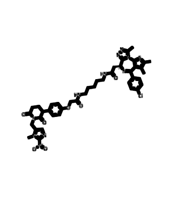 Cc1sc2c(c1C)C(c1ccc(Cl)cc1)=N[C@@H](CC(=O)NCCCCCNC(=O)COc1ccc(C3CCC(=O)N(Cc4cnc([N+](=O)[O-])n4C)C3=O)cc1)c1nnc(C)n1-2